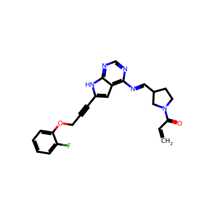 C=CC(=O)N1CCC(/C=N/c2ncnc3[nH]c(C#CCOc4ccccc4F)cc23)C1